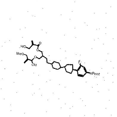 C=C(CO)C(=O)OCC(CCC1CCC(C2CCC(c3ccc(CCCCC)cc3F)CC2)CC1)COC(O)C(=C)COC